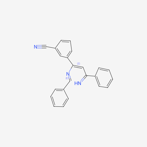 N#Cc1cccc(C(=C/C(=N)c2ccccc2)/N=C/c2ccccc2)c1